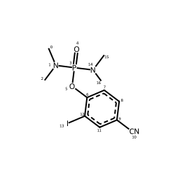 CN(C)P(=O)(Oc1ccc(C#N)cc1I)N(C)C